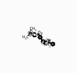 CCOP(=O)(OCC)N1CCCN(C(=O)c2ccc(-c3cnc(N)c(-c4nnc(-c5ccccc5)o4)n3)cc2F)CC1